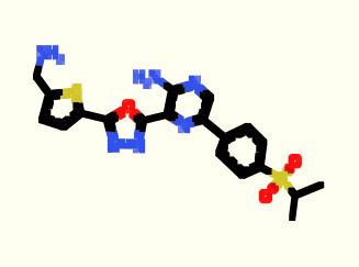 CC(C)S(=O)(=O)c1ccc(-c2cnc(N)c(-c3nnc(-c4ccc(CN)s4)o3)n2)cc1